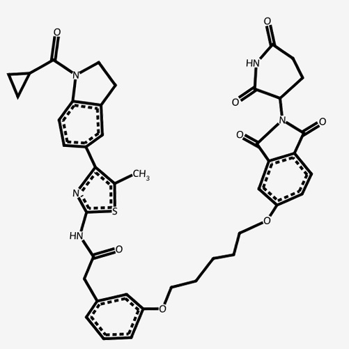 Cc1sc(NC(=O)Cc2cccc(OCCCCCOc3ccc4c(c3)C(=O)N(C3CCC(=O)NC3=O)C4=O)c2)nc1-c1ccc2c(c1)CCN2C(=O)C1CC1